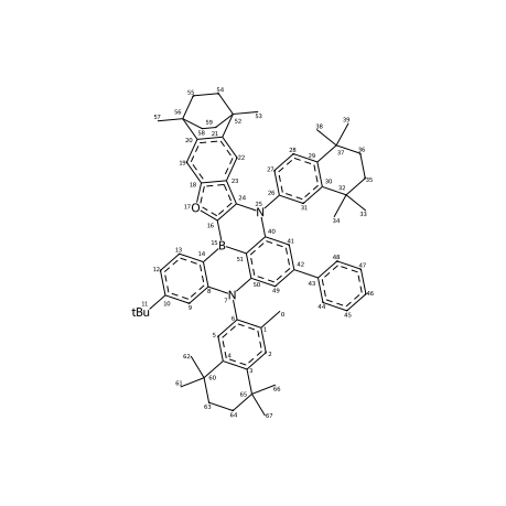 Cc1cc2c(cc1N1c3cc(C(C)(C)C)ccc3B3c4oc5cc6c(cc5c4N(c4ccc5c(c4)C(C)(C)CCC5(C)C)c4cc(-c5ccccc5)cc1c43)C1(C)CCC6(C)CC1)C(C)(C)CCC2(C)C